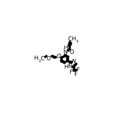 CC#CC(=O)Nc1cc(-c2ncc(C(F)(F)F)[nH]2)ccc1OCCOCC